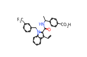 C=Cc1c(C(=O)NC(C)c2ccc(C(=O)O)cc2)n(Cc2cccc(C(F)(F)F)c2)c2ccccc12